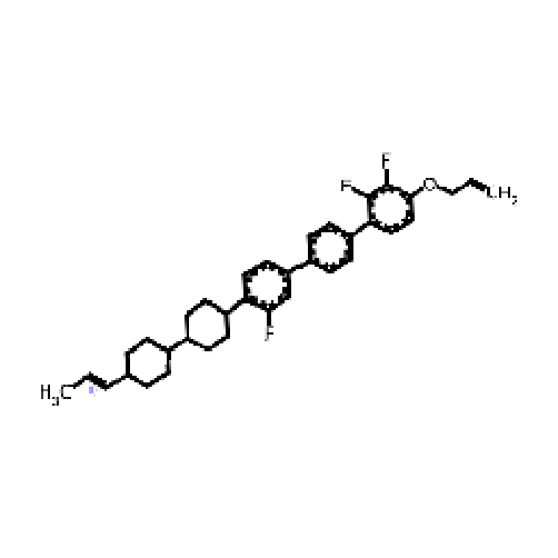 C=CCOc1ccc(-c2ccc(-c3ccc(C4CCC(C5CCC(/C=C/C)CC5)CC4)c(F)c3)cc2)c(F)c1F